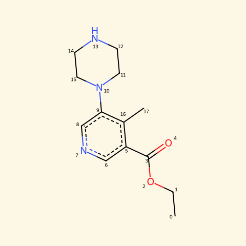 CCOC(=O)c1cn[c]c(N2CCNCC2)c1C